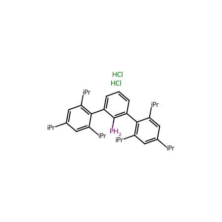 CC(C)c1cc(C(C)C)c(-c2cccc(-c3c(C(C)C)cc(C(C)C)cc3C(C)C)c2P)c(C(C)C)c1.Cl.Cl